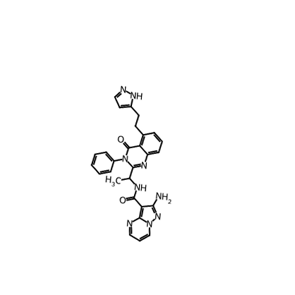 CC(NC(=O)c1c(N)nn2cccnc12)c1nc2cccc(CCc3ccn[nH]3)c2c(=O)n1-c1ccccc1